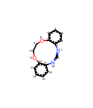 C1=Nc2ccccc2OCCOc2ccccc2N=1